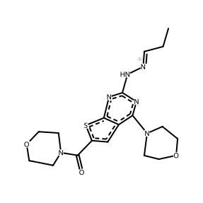 CC/C=N/Nc1nc(N2CCOCC2)c2cc(C(=O)N3CCOCC3)sc2n1